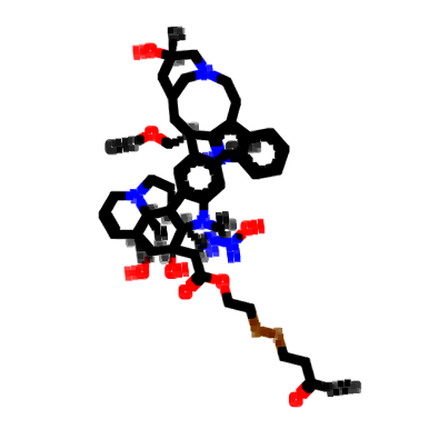 CC[C@]1(O)CC2CN(CCc3c([nH]c4ccccc34)[C@@](COC=O)(c3cc4c(cc3OC)N(C)[C@@H]3[C@]45CCN4CC=C[C@@](CC)([C@@H](O)[C@]3(O)[C@H](NNO)C(=O)OCCSSCCC(=O)NC)[C@H]45)C2)C1